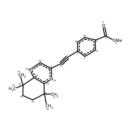 COC(=O)c1ccc(C#Cc2cnc3c(n2)C(C)(C)CCC3(C)C)cc1